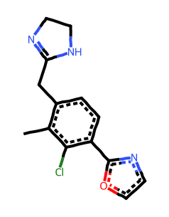 Cc1c(CC2=NCCN2)ccc(-c2ncco2)c1Cl